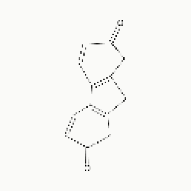 O=C1C=CC2=C(C1)CC1=C2C=CC(=O)C1